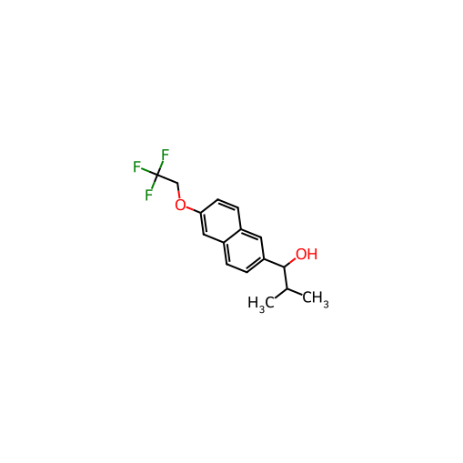 CC(C)C(O)c1ccc2cc(OCC(F)(F)F)ccc2c1